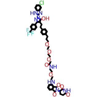 O=C(COCCOCCOCCCc1ccc(CCc2c(-c3ccc(C(F)(F)F)cc3)nn(-c3nc4cc(Cl)ccc4[nH]3)c2O)cc1)NCCOCCNc1cccc2c1C(=O)N(C1CCC(=O)NC1=O)C2=O